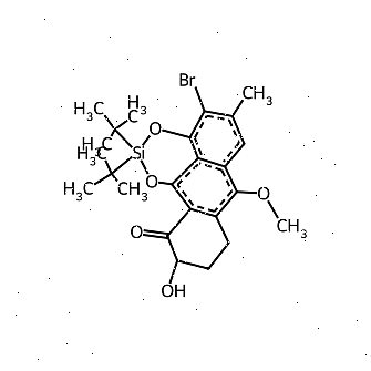 COc1c2c(c3c4c(c(Br)c(C)cc14)O[Si](C(C)(C)C)(C(C)(C)C)O3)C(=O)C(O)CC2